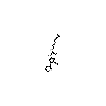 Cc1nc(NC(=O)NCCOCC2CC2)sc1-c1cccnc1